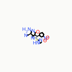 N#Cc1c(N)nc2c(c1N)C(Sc1ncc[nH]1)c1cc([N+](=O)[O-])ccc1O2